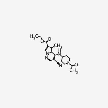 CCOC(=O)c1cn2ncc(C#N)c(NC3CCN(C(C)=O)CC3)c2c1C